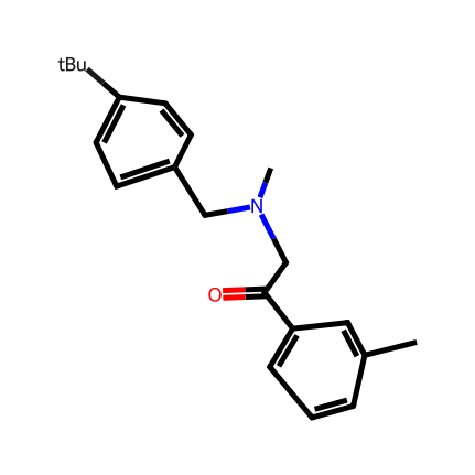 Cc1cccc(C(=O)CN(C)Cc2ccc(C(C)(C)C)cc2)c1